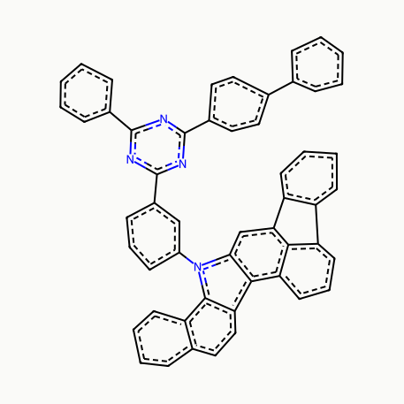 c1ccc(-c2ccc(-c3nc(-c4ccccc4)nc(-c4cccc(-n5c6cc7c8c(cccc8c6c6ccc8ccccc8c65)-c5ccccc5-7)c4)n3)cc2)cc1